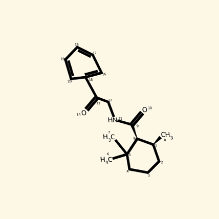 C[C@H]1CCCC(C)(C)[C@H]1C(=O)NCC(=O)c1ccccc1